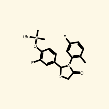 Cc1ccc(F)cc1N1C(=O)CSC1c1ccc(O[Si](C)(C)C(C)(C)C)c(F)c1